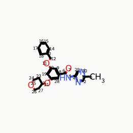 Cc1cnc(NC(=O)c2cc(OCc3ccccc3)cc(OC3CCOCC3)c2)cn1